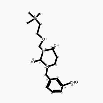 C[Si](C)(C)CCOCN1C(=O)CCN(Cc2cccc(C=O)c2)C1O